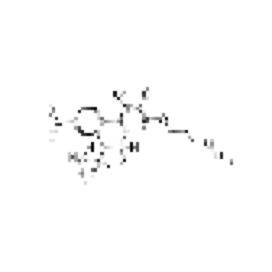 COCCCOc1cc2c([n+]([O-])c1Cl)C1=CCC(C(=O)O)=CN1[C@H]1[C@@H]2CCC1(C)C